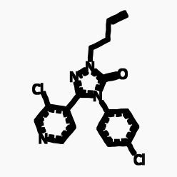 C=CCCn1nc(-c2ccncc2Cl)n(-c2ccc(Cl)cc2)c1=O